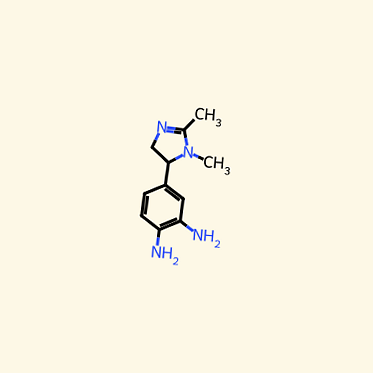 CC1=NCC(c2ccc(N)c(N)c2)N1C